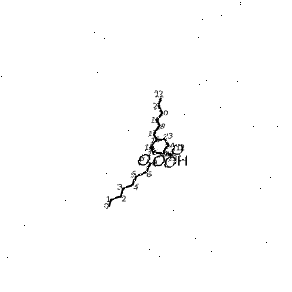 CCCCCCCC(=O)OC1(C(=O)O)C=CC(CCCCCC)CC1